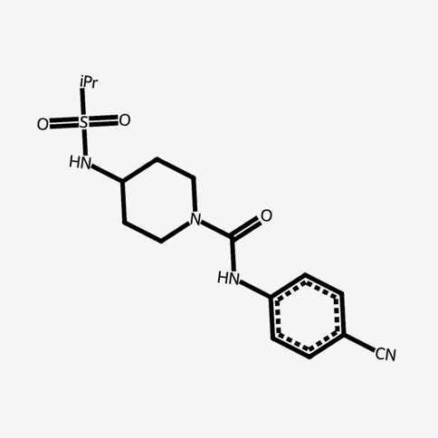 CC(C)S(=O)(=O)NC1CCN(C(=O)Nc2ccc(C#N)cc2)CC1